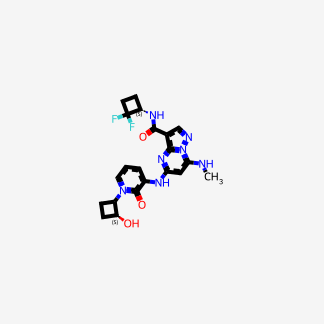 CNc1cc(Nc2cccn(C3CC[C@@H]3O)c2=O)nc2c(C(=O)N[C@H]3CCC3(F)F)cnn12